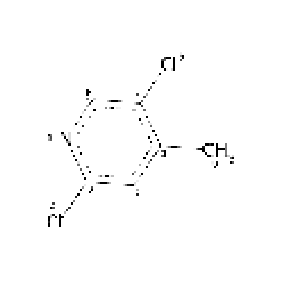 Cc1cc(Cl)n[c]c1Cl